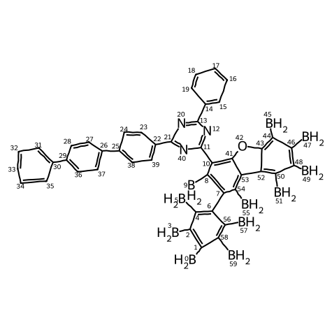 Bc1c(B)c(B)c(-c2c(B)c(-c3nc(-c4ccccc4)nc(-c4ccc(-c5ccc(-c6ccccc6)cc5)cc4)n3)c3oc4c(B)c(B)c(B)c(B)c4c3c2B)c(B)c1B